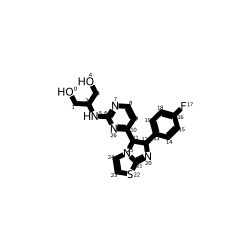 OCC(CO)Nc1nccc(C2C(c3ccc(F)cc3)N=C3SC=CN32)n1